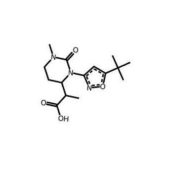 CC(C(=O)O)C1CCN(C)C(=O)N1c1cc(C(C)(C)C)on1